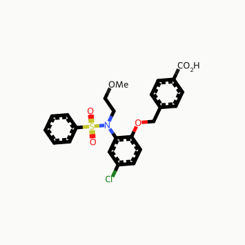 COCCN(c1cc(Cl)ccc1OCc1ccc(C(=O)O)cc1)S(=O)(=O)c1ccccc1